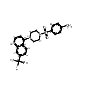 Cc1ccc(S(=O)(=O)N2CCN(c3ccnc4cc(C(F)(F)F)ccc34)CC2)cc1